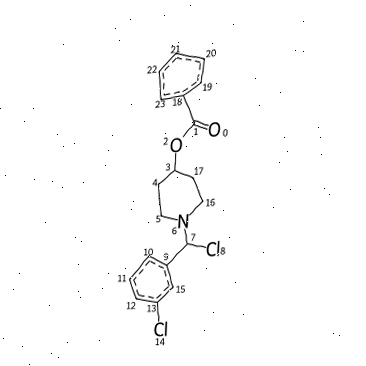 O=C(OC1CCN(C(Cl)c2cccc(Cl)c2)CC1)c1ccccc1